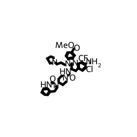 COC(=O)c1ccc2c(c1)nc(C(Cc1cc(Cl)c(N)c(C(F)(F)F)c1)NC(=O)N1CCC(N3CCc4ccccc4NC3=O)CC1)n2CCCN1CCCC1